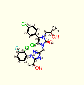 C[C@H](O)c1nc(Cn2c(Cl)c(-c3ccc(Cl)cc3)n(CC(O)C(F)(F)F)c2=O)nn1-c1cccc(F)c1Cl